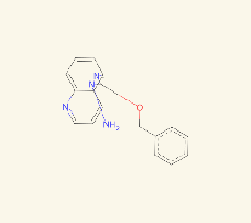 NN1C(OCc2ccccc2)N=C2C=CC=C3N=CC=CC321